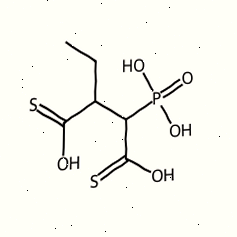 CCC(C(O)=S)C(C(O)=S)P(=O)(O)O